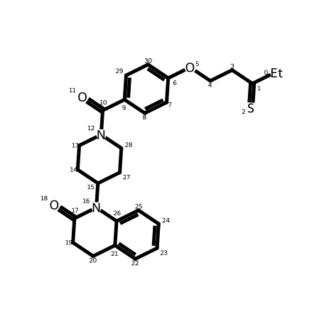 CCC(=S)CCOc1ccc(C(=O)N2CCC(N3C(=O)CCc4ccccc43)CC2)cc1